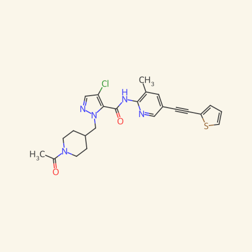 CC(=O)N1CCC(Cn2ncc(Cl)c2C(=O)Nc2ncc(C#Cc3cccs3)cc2C)CC1